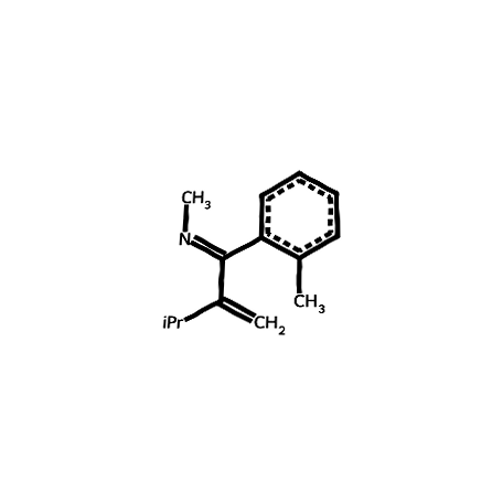 C=C(/C(=N/C)c1ccccc1C)C(C)C